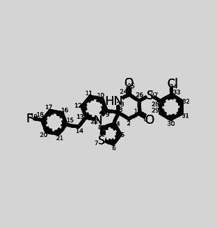 O=C1CC(c2ccsc2)(c2cccc(Cc3ccc(F)cc3)n2)NC(=O)C1Sc1ccccc1Cl